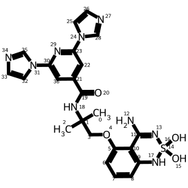 CC(C)(COc1cccc2c1C(N)=NS(O)(O)N2)NC(=O)c1cc(-n2ccnc2)nc(-n2ccnc2)c1